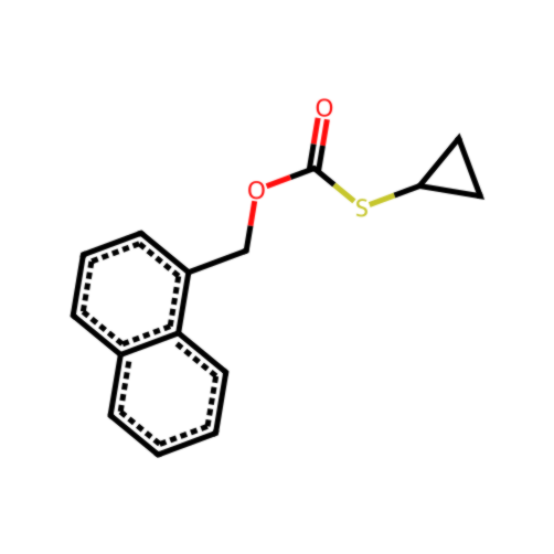 O=C(OCc1cccc2ccccc12)SC1CC1